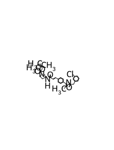 Cc1oc(Cc2cccc(Cl)c2)nc1-c1ccc(/C=C/C(=O)NC2CCN(C(=O)OC(C)(C)C)C2)cc1